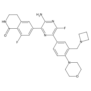 Nc1nc(F)c(-c2ccc(N3CCOCC3)c(CN3CCC3)c2)nc1-c1cc(F)c2c(c1)CCNC2=O